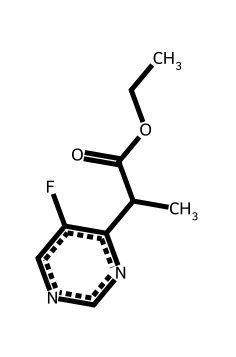 CCOC(=O)C(C)c1ncncc1F